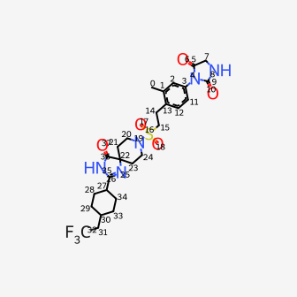 Cc1cc(N2C(=O)CNC2=O)ccc1CCS(=O)(=O)N1CCC2(CC1)N=C(C1CCC(CC(F)(F)F)CC1)NC2=O